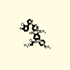 C=CC(=O)Nc1cc(Nc2cc(N3OCCC3c3cccc(F)c3Cl)ncn2)c(OC)cc1N1CCN(C)CC1